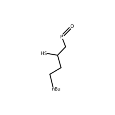 CCCCCCC(S)CP=O